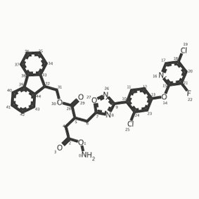 NOC(=O)CC(Cc1nc(-c2ccc(Oc3ncc(Cl)cc3F)cc2Cl)no1)C(=O)OCC1c2ccccc2-c2ccccc21